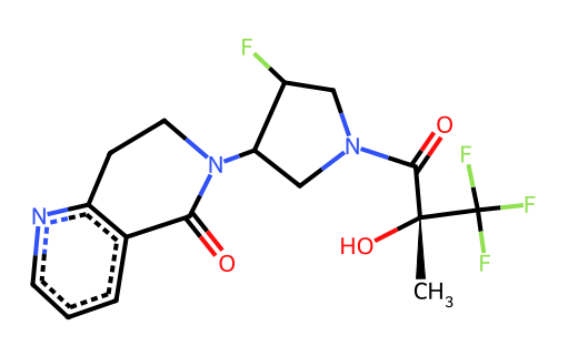 C[C@@](O)(C(=O)N1CC(F)C(N2CCc3ncccc3C2=O)C1)C(F)(F)F